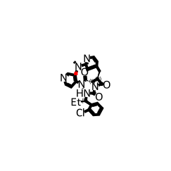 CC[C@@H](NC(=O)N1C(=O)[C@H](Cc2ccnc(N(C)C)c2)[C@H]1C(=O)N(C)c1ccncc1)c1ccccc1Cl